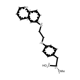 CO[C@@H](Cc1ccc(OCCOc2ccc3ncccc3c2)cc1)C(=O)O